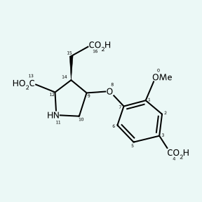 COc1cc(C(=O)O)ccc1OC1CNC(C(=O)O)[C@H]1CC(=O)O